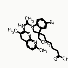 C=C(NC1=C(C)Cc2ccc(O)nc2S1)N1CC(CC)(CCCCCC(C)=O)c2cc(Br)ccc21